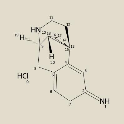 Cl.N=C1C=C2C(=CC1)C[C@H]1NCC[C@@]23CCCC[C@@H]13